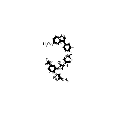 COc1ccn2ncc(-c3ccc(Oc4ncc(NC(=O)Nc5cc(C(F)(F)F)ccc5-n5cc(C)nn5)cn4)cc3)c2n1